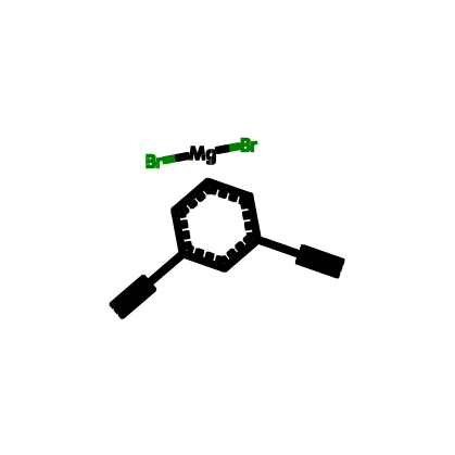 C#Cc1cccc(C#C)c1.[Br][Mg][Br]